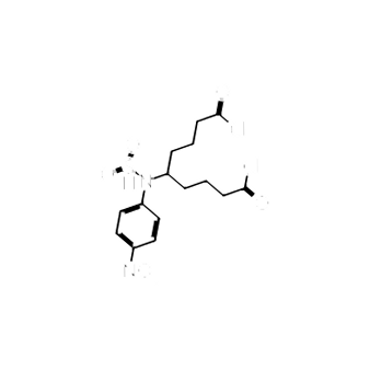 O=C(Cl)CCCC(CCCC(=O)Cl)N(c1ccc([N+](=O)[O-])cc1)[SH](=O)=O